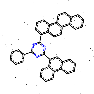 c1ccc(-c2nc(-c3cc4ccccc4c4ccccc34)nc(-c3cccc4c3ccc3c5ccccc5ccc43)n2)cc1